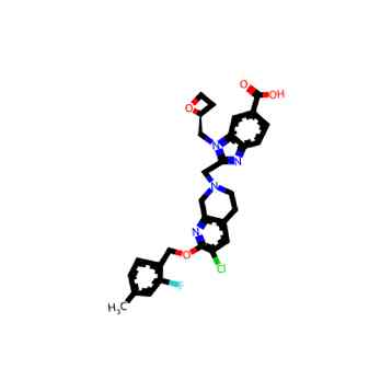 Cc1ccc(COc2nc3c(cc2Cl)CCN(Cc2nc4ccc(C(=O)O)cc4n2C[C@@H]2CCO2)C3)c(F)c1